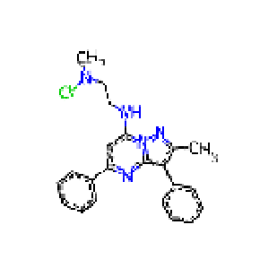 Cc1nn2c(NCCN(C)Cl)cc(-c3ccccc3)nc2c1-c1ccccc1